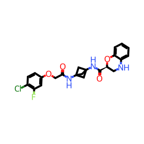 O=C(COc1ccc(Cl)c(F)c1)NC12CC(NC(=O)[C@@H]3CNc4ccccc4O3)(C1)C2